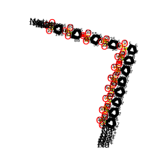 O=S(=O)([O-])c1ccccc1.O=S(=O)([O-])c1ccccc1.O=S(=O)([O-])c1ccccc1.O=S(=O)([O-])c1ccccc1.O=S(=O)([O-])c1ccccc1.O=S(=O)([O-])c1ccccc1.O=S(=O)([O-])c1ccccc1.O=S(=O)([O-])c1ccccc1.O=S(=O)([O-])c1ccccc1.O=S(=O)([O-])c1ccccc1.O=S(=O)([O-])c1ccccc1.O=S(=O)([O-])c1ccccc1.[Na+].[Na+].[Na+].[Na+].[Na+].[Na+].[Na+].[Na+].[Na+].[Na+].[Na+].[Na+]